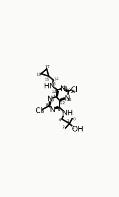 CC(C)(O)CNc1nc(Cl)nc2c(NCC3CC3)nc(Cl)nc12